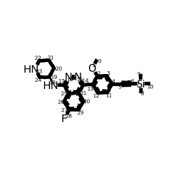 COc1cc(C#C[Si](C)(C)C)ccc1-c1nnc(N[C@@H]2CCCNC2)c2cc(F)ccc12